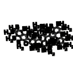 Bc1c(B)c(B)c(-c2c(B)c(-c3c4c(B)c(B)c(B)c(B)c4c(-c4c(B)c(B)c5oc6c(B)c7c(B)c(B)c(B)c(B)c7c(B)c6c5c4B)c4c(B)c(B)c(B)c(B)c34)c(B)c3c(B)c(B)c(B)c(B)c23)c(B)c1B